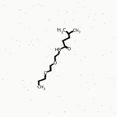 CCCOCCOCCNC(=O)CCC(C)C